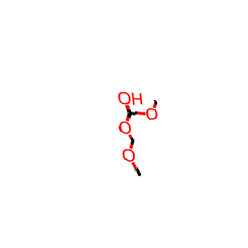 COCOC(O)OC